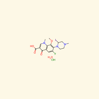 COc1c(N2CCN(C)CC2I)c(F)cc2c(=O)c(C(=O)O)cn(C)c12.Cl.O